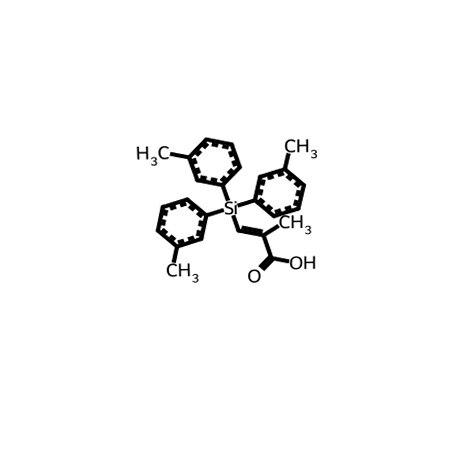 CC(=C[Si](c1cccc(C)c1)(c1cccc(C)c1)c1cccc(C)c1)C(=O)O